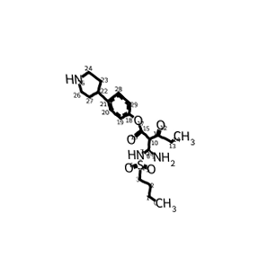 CCCCS(=O)(=O)N[C@H](N)C(C(=O)CC)C(=O)Oc1ccc(C2CCNCC2)cc1